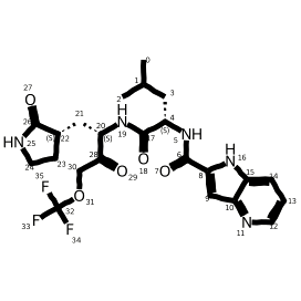 CC(C)C[C@H](NC(=O)c1cc2ncccc2[nH]1)C(=O)N[C@@H](C[C@@H]1CCNC1=O)C(=O)COC(F)(F)F